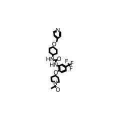 CC(=O)N1CCC(Oc2ccc(C(F)(F)F)cc2NC(=O)NC2CCC(OCc3ccncc3)CC2)CC1